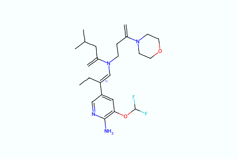 C=C(CC(C)C)N(/C=C(\CC)c1cnc(N)c(OC(F)F)c1)CCC(=C)N1CCOCC1